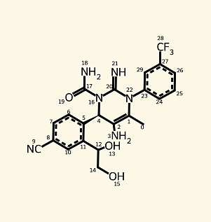 CC1=C(N)[C@@H](c2ccc(C#N)cc2C(O)CO)N(C(N)=O)C(=N)N1c1cccc(C(F)(F)F)c1